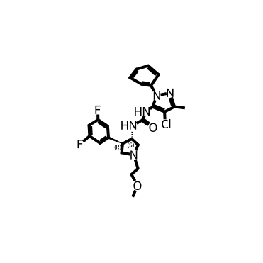 COCCN1C[C@@H](NC(=O)Nc2c(Cl)c(C)nn2-c2ccccc2)[C@H](c2cc(F)cc(F)c2)C1